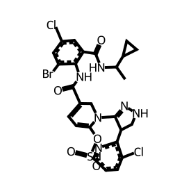 CC(NC(=O)c1cc(Cl)cc(Br)c1NC(=O)C1=CC=C(O[SH](=O)=O)N(C2=NNCC2c2ncccc2Cl)C1)C1CC1